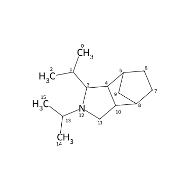 CC(C)C1C2C3CCC(C3)C2CN1C(C)C